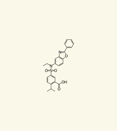 CCN(c1ccc2oc(-c3ccccc3)nc2c1)S(=O)(=O)c1ccc(C(C)C)c(C(=O)O)c1